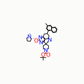 Cc1cc(C2CCc3c(nc(OC[C@@H]4CCCN4C)nc3C3(C#N)CCN(C(=O)OC(C)(C)C)CC3)C2)c2ccccc2c1